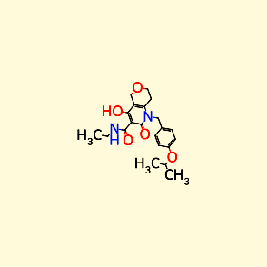 CCNC(=O)c1c(O)c2c(n(Cc3ccc(OC(C)C)cc3)c1=O)CCOC2